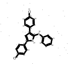 Clc1ccc(-c2cc(-c3ccc(Cl)cc3)c(Sc3ccccc3)s2)cc1